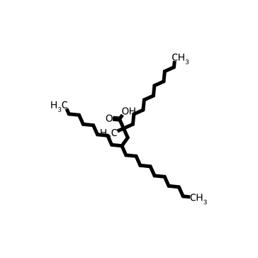 CCCCCCCCCCC(CCCCCCCC)CC(C)(CCCCCCCCCC)C(=O)O